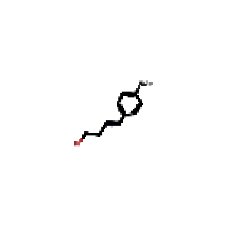 CSc1ccc(/C=C/CCBr)cc1